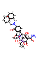 C=C(O)I1(O)([C@@H](O)I2C(=O)c3c(ccc(N(Cc4ccccc4)Cc4ccccc4)c3O)[C@@H]2C)C(=O)C(C(N)=O)=C(O)[C@H]1N(C)C